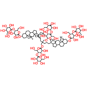 CC(CCCC(CCCC(C)C1CCC2C3CCC4CC(O[C@H]5OC(CO)C(O[C@@H]6OC(CO)C(O)C(O)C6O)C(O)C5O)CCC4(C)C3CCC12C)(COC1OC(CO)[C@@H](OC2OC(CO)C(O)[C@@H](O)C2O)C(O)C1O)CO[C@H]1OC(CO)C(O[C@@H]2OC(CO)C(O)C(O)C2O)C(O)C1O)C1CCC2C1CCC1C2CCC2CC(O[C@@H]3OC(CO)C(O[C@H]4OC(CO)C(O)C(O)C4O)C(O)C3O)CCC21C